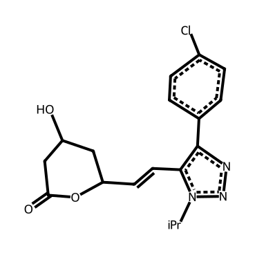 CC(C)n1nnc(-c2ccc(Cl)cc2)c1/C=C/C1CC(O)CC(=O)O1